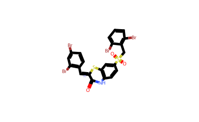 O=C1Nc2ccc(S(=O)(=O)Cc3c(Br)cccc3Br)cc2S/C1=C\c1ccc(Br)cc1Br